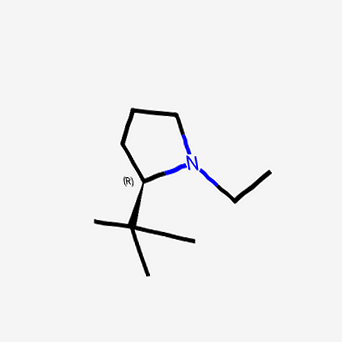 CCN1CCC[C@@H]1C(C)(C)C